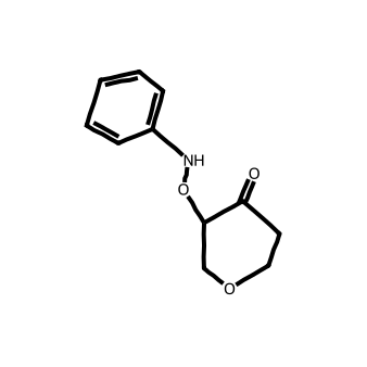 O=C1CCOCC1ONc1ccccc1